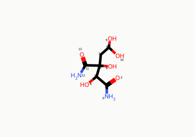 NC(=O)C(O)C(O)(CC(O)O)C(N)=O